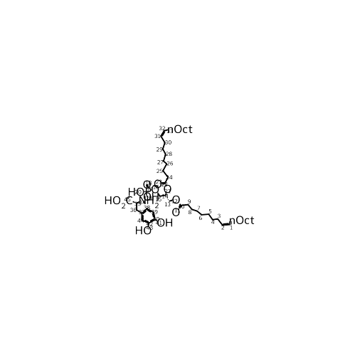 CCCCCCCC/C=C\CCCCCCCC(=O)OC[C@H](COP(=O)(O)O)OC(=O)CCCCCCC/C=C\CCCCCCCC.N[C@@H](Cc1ccc(O)c(O)c1)C(=O)O